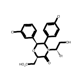 CC[C@@H](CO)N1C(=O)[C@@H](CC(=O)O)O[C@@H](c2cccc(Cl)c2)C1c1ccc(Cl)cc1